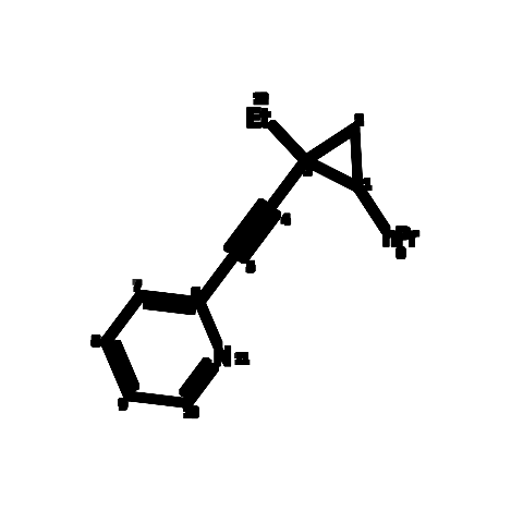 CCCC1CC1(C#Cc1ccccn1)CC